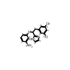 Nc1cccc(OC(Cc2cc(Cl)cc(Cl)c2)c2ncc[nH]2)c1